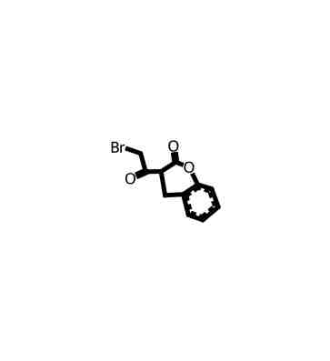 O=C(CBr)C1Cc2ccccc2OC1=O